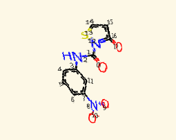 O=C(Nc1cccc([N+](=O)[O-])c1)n1sccc1=O